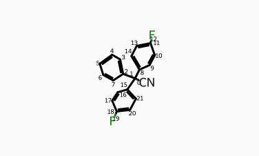 N#CC(c1ccccc1)(c1ccc(F)cc1)c1ccc(F)cc1